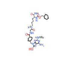 CCCCNc1nc(N)c2nc(O)n(Cc3ccc(C(=O)NCC(=O)NCCCC[C@H](NC(=O)OCc4ccccc4)C(N)=O)cc3)c2n1